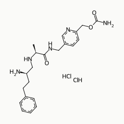 C[C@H](NC[C@H](N)CCc1ccccc1)C(=O)NCc1ccc(COC(N)=O)nc1.Cl.Cl